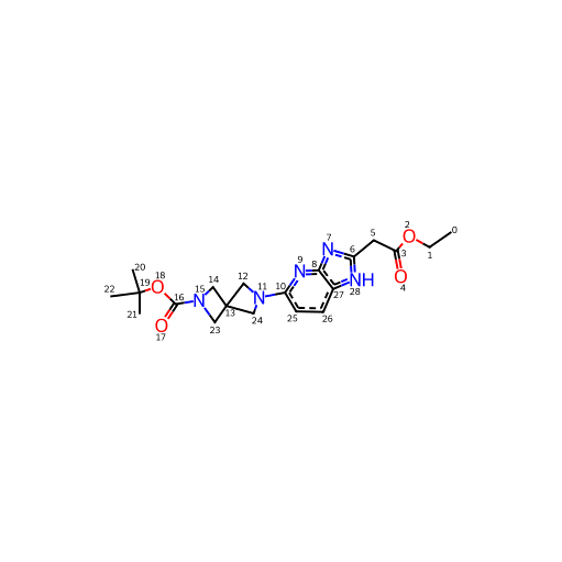 CCOC(=O)Cc1nc2nc(N3CC4(CN(C(=O)OC(C)(C)C)C4)C3)ccc2[nH]1